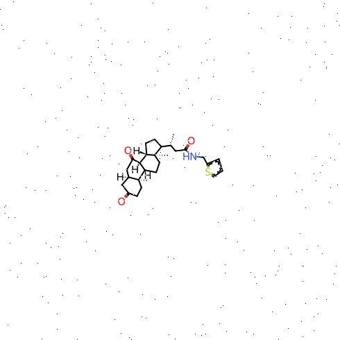 C[C@H](CC(=O)NCc1cccs1)C1CC[C@H]2[C@@H]3C(=O)C[C@@H]4CC(=O)CC[C@]4(C)[C@H]3CC[C@]12C